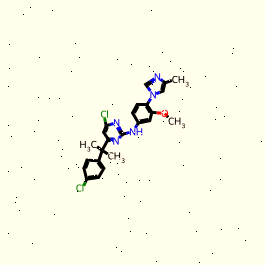 COc1cc(Nc2nc(Cl)cc(C(C)(C)c3ccc(Cl)cc3)n2)ccc1-n1cnc(C)c1